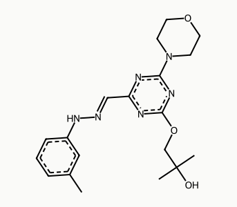 Cc1cccc(N/N=C/c2nc(OCC(C)(C)O)nc(N3CCOCC3)n2)c1